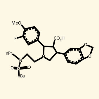 CCCCS(=O)(=O)N(CCC)CCN1CC(c2ccc3c(c2)OCO3)C(C(=O)O)C1c1ccc(OC)c(F)c1